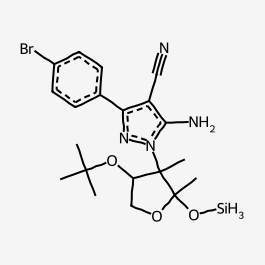 CC(C)(C)OC1COC(C)(O[SiH3])C1(C)n1nc(-c2ccc(Br)cc2)c(C#N)c1N